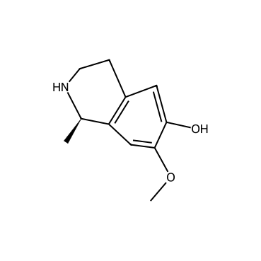 COc1cc2c(cc1O)CCN[C@@H]2C